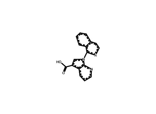 O=C(O)c1cn(-c2nccc3ccccc23)c2ncccc12